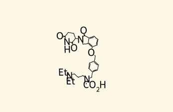 CCN(CC)CCCN(Cc1ccc(COc2cccc3c2CN(C2CCC(=O)NC2=O)C3=O)cc1)C(=O)O